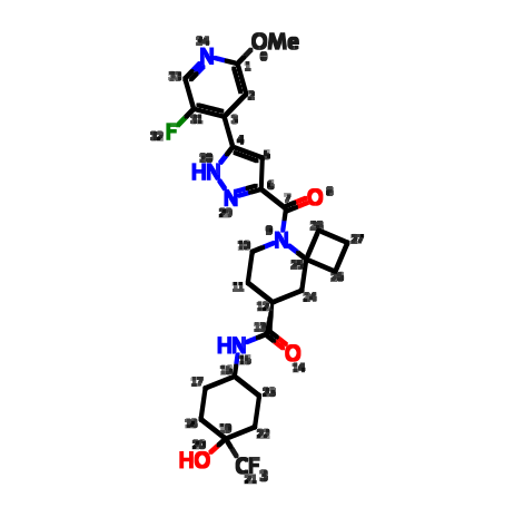 COc1cc(-c2cc(C(=O)N3CC[C@H](C(=O)NC4CCC(O)(C(F)(F)F)CC4)CC34CCC4)n[nH]2)c(F)cn1